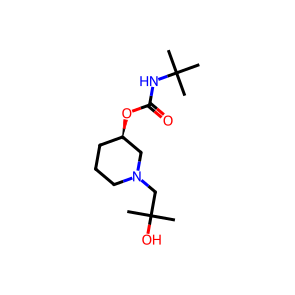 CC(C)(O)CN1CCC[C@@H](OC(=O)NC(C)(C)C)C1